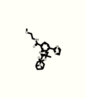 COCCNC(=O)c1ccc(-c2nccs2)c2oc(N3CC4CC(C3)N4C(=O)OC(C)(C)C)nc12